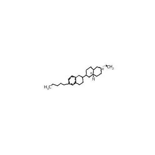 C=C[C@@H]1CC[C@@H]2CC(C3CCc4cc(CCCCC)ccc4C3)CCC2C1